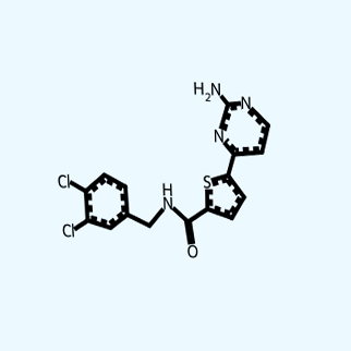 Nc1nccc(-c2ccc(C(=O)NCc3ccc(Cl)c(Cl)c3)s2)n1